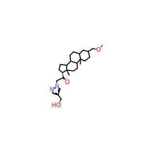 COCC1CCC2(C)C(CCC3C2CCC2(C)C3CC[C@@H]2C(=O)Cn2cc(CO)cn2)C1